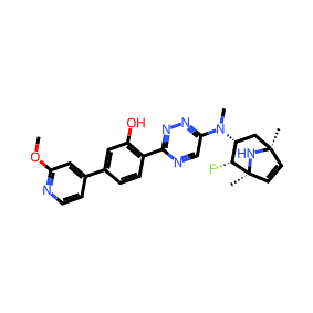 COc1cc(-c2ccc(-c3ncc(N(C)[C@@H]4C[C@@]5(C)C=C[C@](C)(N5)[C@@H]4F)nn3)c(O)c2)ccn1